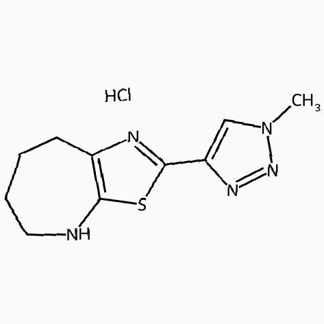 Cl.Cn1cc(-c2nc3c(s2)NCCCC3)nn1